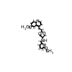 COc1ccc2nccc(CCC3OCC(NCc4cccc(OC)n4)CO3)c2c1